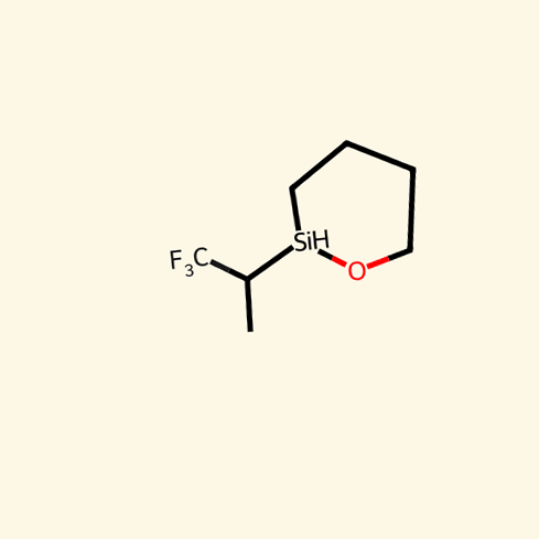 CC([SiH]1CCCCO1)C(F)(F)F